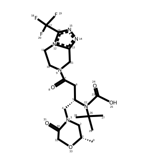 C[C@H]1CN(C[C@H](CC(=O)N2CCn3c(nnc3C(F)(F)F)C2)N(C(=O)O)C(C)(C)C)C(=O)CO1